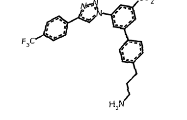 NCCCc1ccc(-c2cc(C(=O)O)cc(-n3cc(-c4ccc(C(F)(F)F)cc4)nn3)c2)cc1